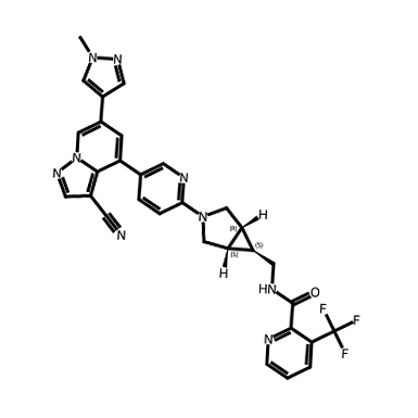 Cn1cc(-c2cc(-c3ccc(N4C[C@@H]5[C@@H](CNC(=O)c6ncccc6C(F)(F)F)[C@@H]5C4)nc3)c3c(C#N)cnn3c2)cn1